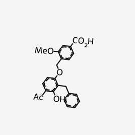 COc1cc(C(=O)O)ccc1COc1ccc(C(C)=O)c(O)c1Cc1ccccc1